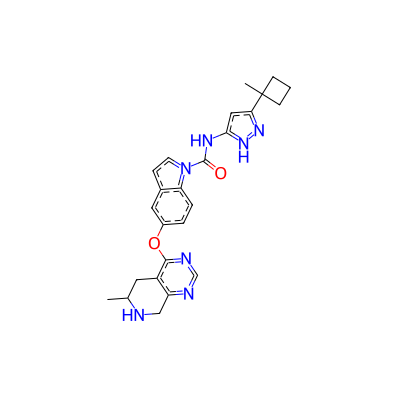 CC1Cc2c(ncnc2Oc2ccc3c(ccn3C(=O)Nc3cc(C4(C)CCC4)n[nH]3)c2)CN1